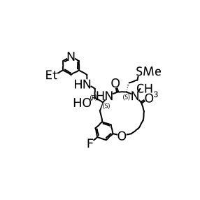 CCc1cncc(CNC[C@@H](O)[C@@H]2Cc3cc(F)cc(c3)OCCCCC(=O)N(C)[C@@H](CCSC)C(=O)N2)c1